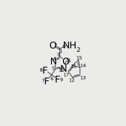 NC(=O)c1nc(C(F)(F)F)no1.c1cc2cc-2c1